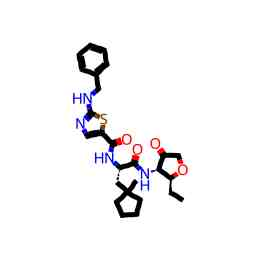 CC[C@@H]1OCC(=O)[C@H]1NC(=O)[C@H](CC1(C)CCCC1)NC(=O)c1cnc(NCc2ccccc2)s1